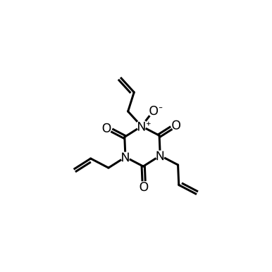 C=CCN1C(=O)N(CC=C)C(=O)[N+]([O-])(CC=C)C1=O